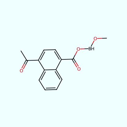 COBOC(=O)c1ccc(C(C)=O)c2ccccc12